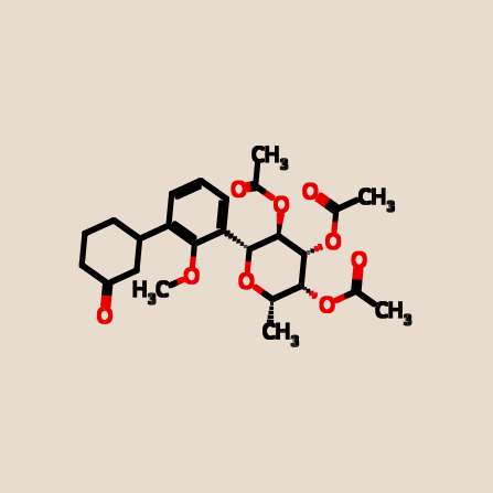 COc1c(C2CCCC(=O)C2)cccc1[C@H]1O[C@@H](C)[C@@H](OC(C)=O)[C@@H](OC(C)=O)[C@@H]1OC(C)=O